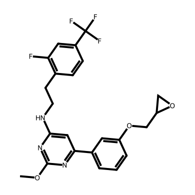 COc1nc(NCCc2ccc(C(F)(F)F)cc2F)cc(-c2cccc(OCC3CO3)c2)n1